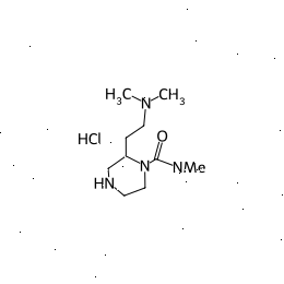 CNC(=O)N1CCNCC1CCN(C)C.Cl